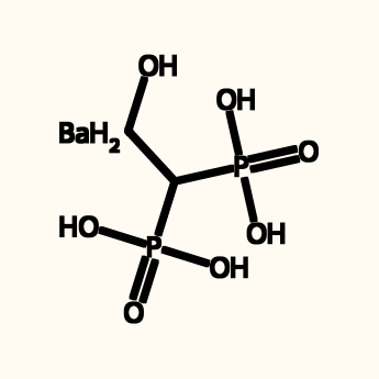 O=P(O)(O)C(CO)P(=O)(O)O.[BaH2]